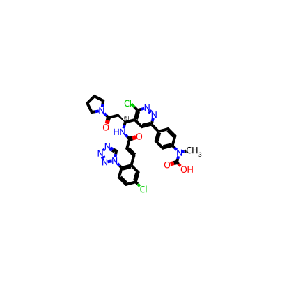 CN(C(=O)O)c1ccc(-c2cc([C@H](CC(=O)N3CCCC3)NC(=O)C=Cc3cc(Cl)ccc3-n3cnnn3)c(Cl)nn2)cc1